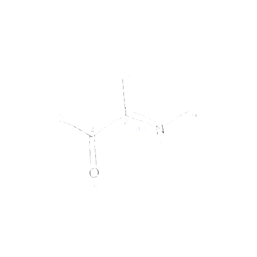 C/N=C(\C)C(C)=O